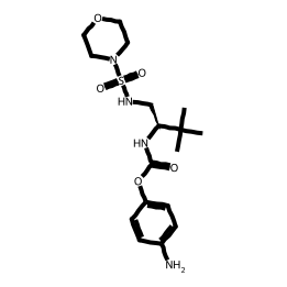 CC(C)(C)[C@H](CNS(=O)(=O)N1CCOCC1)NC(=O)Oc1ccc(N)cc1